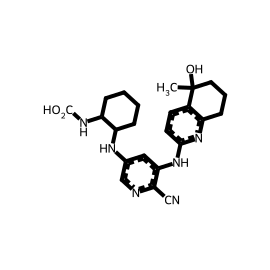 CC1(O)CCCc2nc(Nc3cc(NC4CCCCC4NC(=O)O)cnc3C#N)ccc21